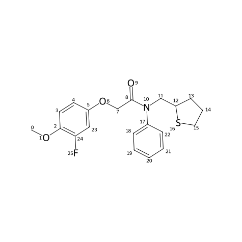 COc1ccc(OCC(=O)N(CC2CCCS2)c2ccccc2)cc1F